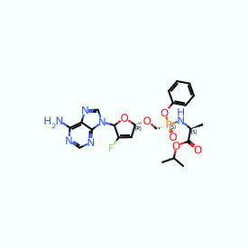 CC(C)OC(=O)[C@H](C)N[P@](=O)(CO[C@@H]1C=C(F)C(n2cnc3c(N)ncnc32)O1)Oc1ccccc1